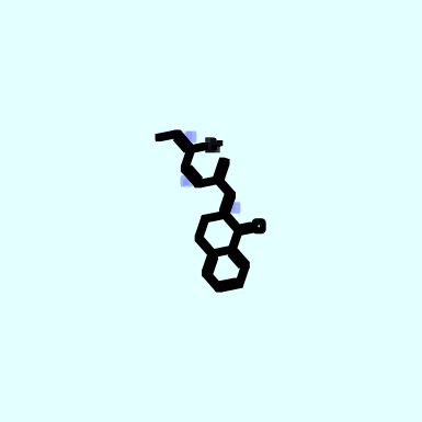 C=C(/C=C\C(Br)=C/C)/C=C1\CCc2ccccc2C1=O